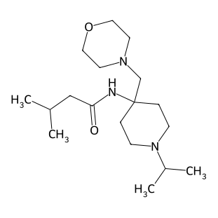 CC(C)CC(=O)NC1(CN2CCOCC2)CCN(C(C)C)CC1